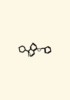 c1ccc(COc2cccc3c(C4CCCCC4)nccc23)cc1